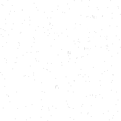 O=C(O)C(=O)O.c1ccc(CC2CN(Cc3c[nH]c4ccccc34)CCO2)cc1